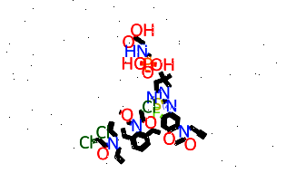 C#CCN1C(=O)COc2cc(F)c(/N=c3\snc4n3CC(C)(C)C4)cc21.C=CCN(CC=C)C(=O)C(Cl)Cl.CCc1cccc(CC)c1N(COC)C(=O)CCl.O=C(O)CNCP(=O)(O)O